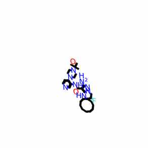 CC1(N2CCN(c3ccncc3NC(=O)c3c(N)nn4c3NC3(CCCCCCCCC3)C(F)C4)CC2)COC1